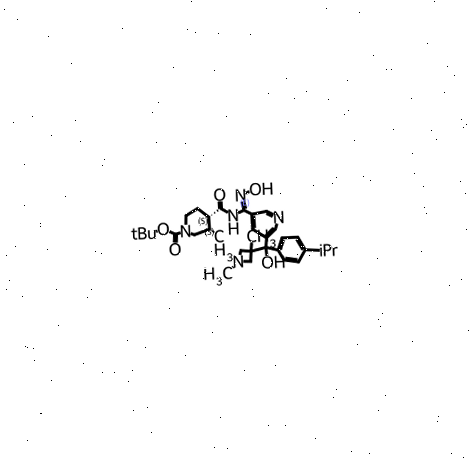 CC(C)c1ccc(C(O)(c2cncc(/C(=N\O)NC(=O)[C@H]3CCN(C(=O)OC(C)(C)C)C[C@H]3C)c2)C2(C)CN(C)C2)cc1